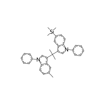 Cc1ccc2c(c1)c(C(C)(C)c1cn(-c3ccccc3)c3ccc([Si](C)(C)C)cc13)cn2-c1ccccc1